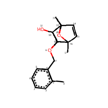 Cc1ccccc1COC1C(O)C2(C)C=CC1(C)O2